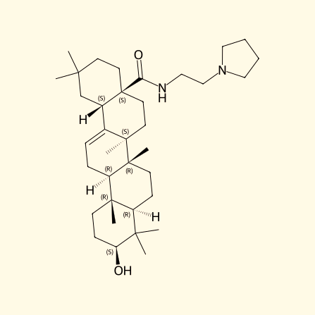 CC1(C)CC[C@]2(C(=O)NCCN3CCCC3)CC[C@]3(C)C(=CC[C@@H]4[C@@]5(C)CC[C@H](O)C(C)(C)[C@@H]5CC[C@]43C)[C@@H]2C1